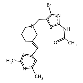 CC(=O)Nc1nc(Br)c(CN2CCC/C(=C\c3cc(C)nc(C)c3)C2)s1